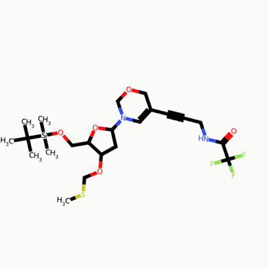 CSCOC1CC(N2C=C(C#CCNC(=O)C(F)(F)F)COC2)OC1CO[Si](C)(C)C(C)(C)C